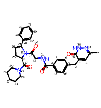 Cc1cc(Cc2ccc(C(=O)NCC(=O)N3[C@@H](C(=O)N4CCCCC4)CC[C@H]3c3ccccc3)cc2)c(=O)[nH]n1